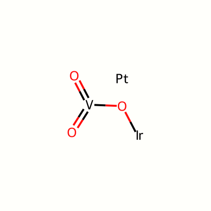 [O]=[V](=[O])[O][Ir].[Pt]